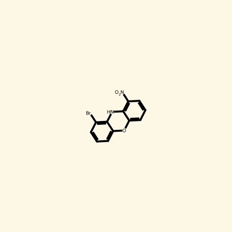 O=[N+]([O-])c1cccc2c1Nc1c(Br)cccc1O2